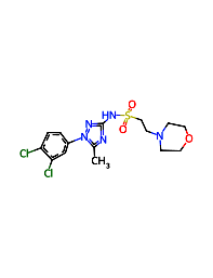 Cc1nc(NS(=O)(=O)CCN2CCOCC2)nn1-c1ccc(Cl)c(Cl)c1